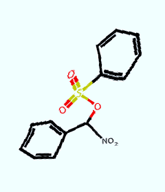 O=[N+]([O-])C(OS(=O)(=O)c1ccccc1)c1ccccc1